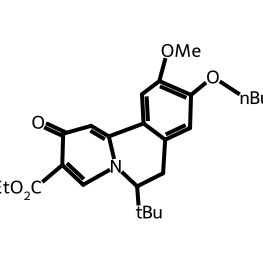 CCCCOc1cc2c(cc1OC)-c1cc(=O)c(C(=O)OCC)cn1C(C(C)(C)C)C2